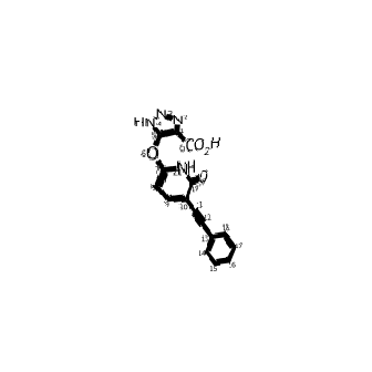 O=C(O)c1nn[nH]c1Oc1ccc(C#Cc2ccccc2)c(=O)[nH]1